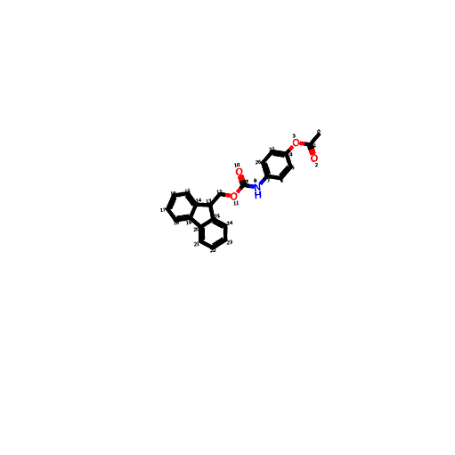 CC(=O)Oc1ccc(NC(=O)OCC2c3ccccc3-c3ccccc32)cc1